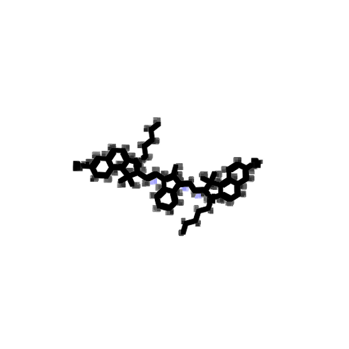 CCCCCN1/C(=C/C=C2C(C)=C(/C=C/C3=[N+](CCCCC)c4ccc5cc(Br)ccc5c4C3(C)C)c3ccccc3/2)C(C)(C)c2c1ccc1cc(Br)ccc21